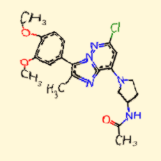 COc1ccc(-c2c(C)nc3c(N4CCC(NC(C)=O)C4)cc(Cl)nn23)cc1OC